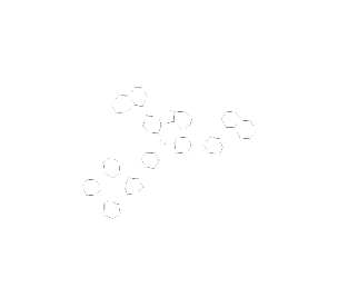 c1ccc(C2(c3ccccc3)c3ccccc3-c3ccc(-c4ccc(N(c5ccc(-c6cccc(-c7cccc8ccccc78)c6)cc5)c5ccc(-c6cccc7ccccc67)c6oc7ccccc7c56)cc4)cc32)cc1